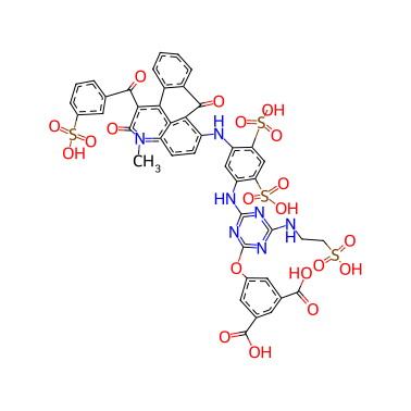 Cn1c(=O)c(C(=O)c2cccc(S(=O)(=O)O)c2)c2c3c(c(Nc4cc(Nc5nc(NCCS(=O)(=O)O)nc(Oc6cc(C(=O)O)cc(C(=O)O)c6)n5)c(S(=O)(=O)O)cc4S(=O)(=O)O)ccc31)C(=O)c1ccccc1-2